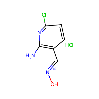 Cl.Nc1nc(Cl)ccc1/C=N/O